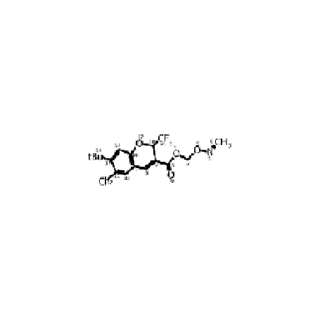 C=NOCOC(=O)C1=Cc2cc(Cl)c(C(C)(C)C)cc2OC1C(F)(F)F